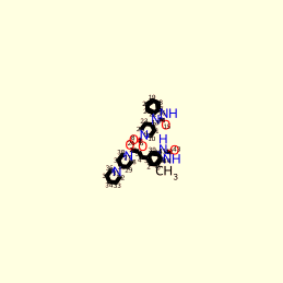 Cc1cc(CC(OC(=O)N2CCC(n3c(=O)[nH]c4ccccc43)CC2)C(=O)N2CCC(N3CCCCC3)CC2)cc2[nH]c(=O)[nH]c12